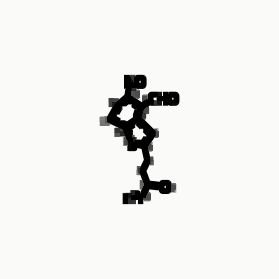 CCCC(=O)CCc1cc2c(C=O)c(N=O)ccc2s1